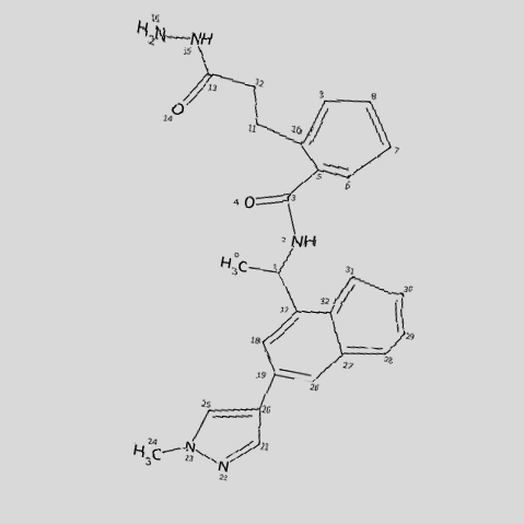 CC(NC(=O)c1ccccc1CCC(=O)NN)c1cc(-c2cnn(C)c2)cc2ccccc12